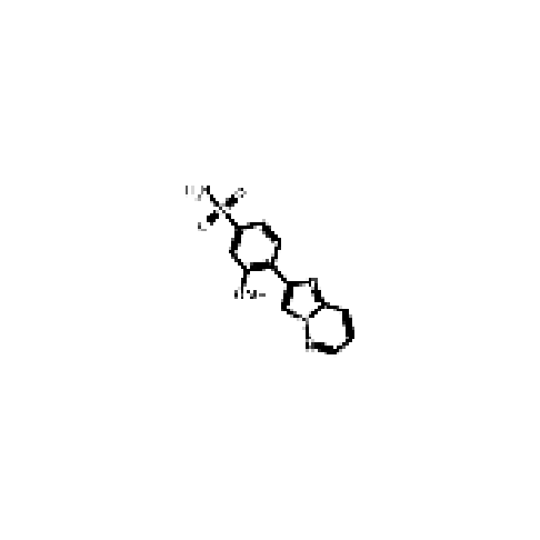 COc1cc(S(N)(=O)=O)ccc1-c1cn2ncccc2n1